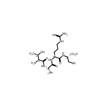 CC[C@H](C)[C@H](NC(=O)[C@@H](N)[C@@H](C)O)C(=O)N[C@@H](CCCNC(=N)N)C(=O)N[C@@H](CC(C)C)C(=O)O